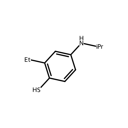 CCc1cc(NC(C)C)ccc1S